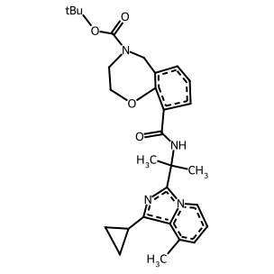 Cc1cccn2c(C(C)(C)NC(=O)c3cccc4c3OCCN(C(=O)OC(C)(C)C)C4)nc(C3CC3)c12